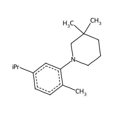 Cc1ccc(C(C)C)cc1N1CCCC(C)(C)C1